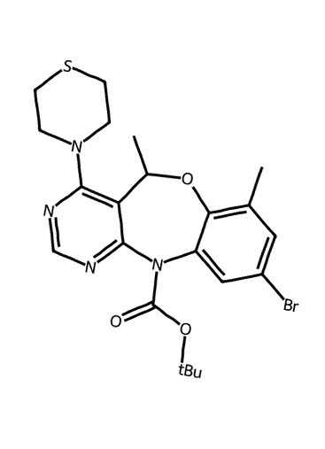 Cc1cc(Br)cc2c1OC(C)c1c(N3CCSCC3)ncnc1N2C(=O)OC(C)(C)C